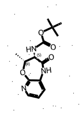 C[C@H]1Oc2ncccc2NC(=O)[C@H]1NC(=O)OC(C)(C)C